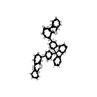 c1ccc2c(c1)-c1ccccc1C2(c1ccc(-c2cccc3c2oc2ccccc23)cc1)c1ccc(-c2cccc3c2oc2ccccc23)cc1